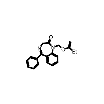 C=C(CC)OCN1C(=O)CN=C(c2ccccc2)c2ccccc21